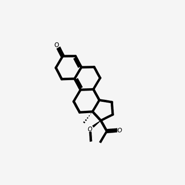 CO[C@]1(C(C)=O)CCC2C3CCC4=CC(=O)CCC4=C3CC[C@@]21C